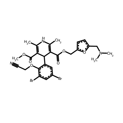 COC(=O)C1=C(C)NC(C)=C(C(=O)OCc2ccc(CN(C)C)o2)C1c1cc(Br)cc(Br)c1OCC#N